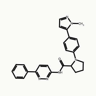 Cn1nccc1-c1ccc(N2CCCC2C(=O)Nc2ccc(-c3ccccc3)nn2)cc1